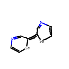 C1=C[Se]C(=C2C=NC=C[Se]2)C=N1